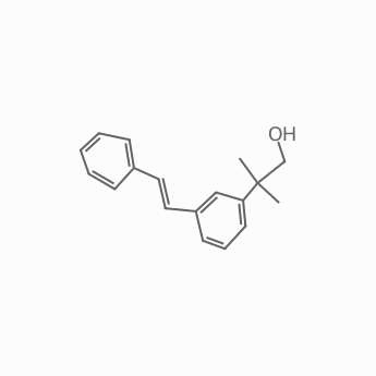 CC(C)(CO)c1cccc(/C=C/c2ccccc2)c1